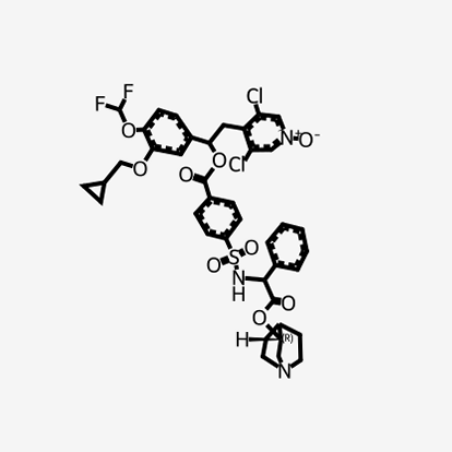 O=C(OC(Cc1c(Cl)c[n+]([O-])cc1Cl)c1ccc(OC(F)F)c(OCC2CC2)c1)c1ccc(S(=O)(=O)NC(C(=O)O[C@H]2CN3CCC2CC3)c2ccccc2)cc1